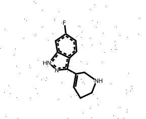 Fc1ccc2c(C3=CCCNC3)n[nH]c2c1